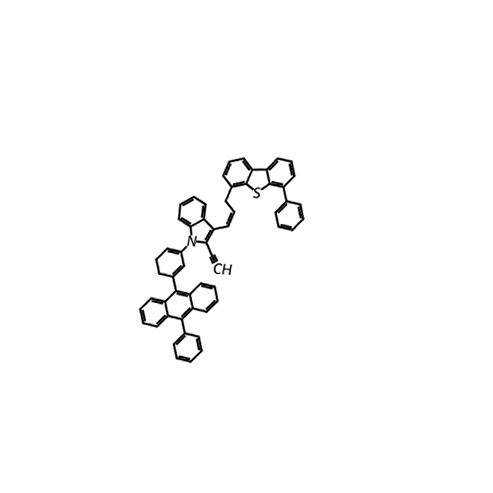 C#Cc1c(/C=C\Cc2cccc3c2sc2c(-c4ccccc4)cccc23)c2ccccc2n1C1=CCCC(c2c3ccccc3c(-c3ccccc3)c3ccccc23)=C1